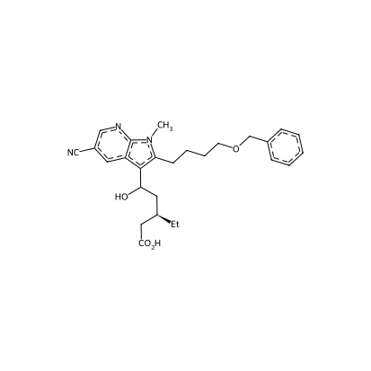 CC[C@@H](CC(=O)O)CC(O)c1c(CCCCOCc2ccccc2)n(C)c2ncc(C#N)cc12